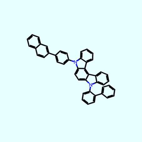 c1ccc(-c2ccccc2-n2c3ccccc3c3c4c5ccccc5n(-c5ccc(-c6ccc7ccccc7c6)cc5)c4ccc32)cc1